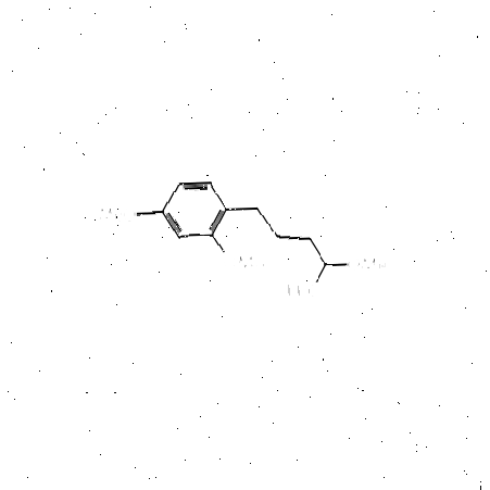 COc1ccc([CH]CCC(C)OC)c(OC)c1